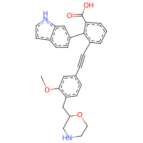 COc1cc(C#Cc2cccc(C(=O)O)c2-c2ccc3cc[nH]c3c2)ccc1CC1CNCCO1